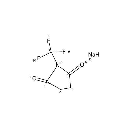 O=C1CCC(=O)N1C(F)(F)F.[NaH]